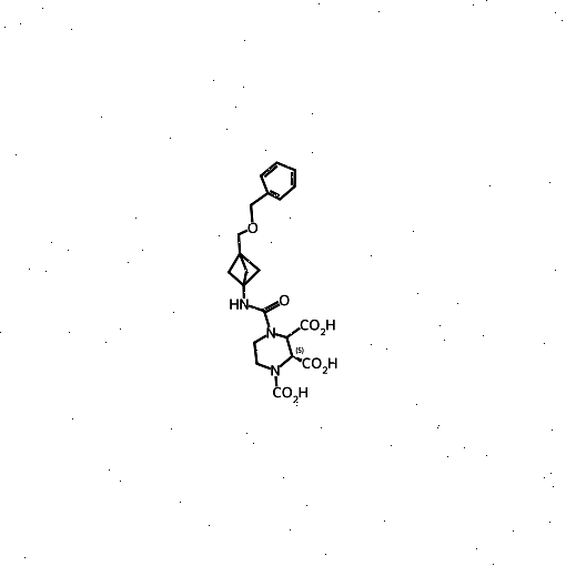 O=C(O)C1[C@@H](C(=O)O)N(C(=O)O)CCN1C(=O)NC12CC(COCc3ccccc3)(C1)C2